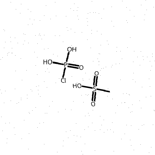 CS(=O)(=O)O.O=P(O)(O)Cl